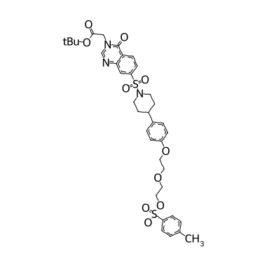 Cc1ccc(S(=O)(=O)OCCOCCOc2ccc(C3CCN(S(=O)(=O)c4ccc5c(=O)n(CC(=O)OC(C)(C)C)cnc5c4)CC3)cc2)cc1